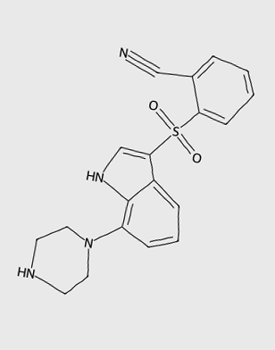 N#Cc1ccccc1S(=O)(=O)c1c[nH]c2c(N3CCNCC3)cccc12